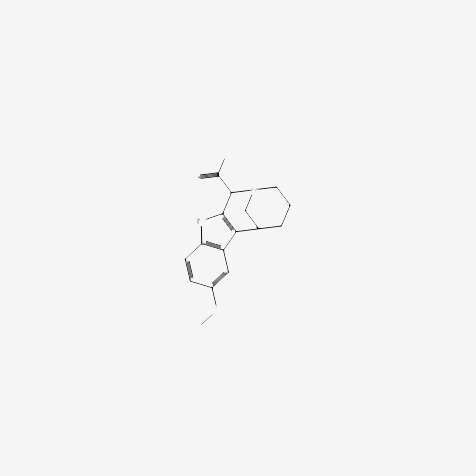 COc1ccc2[nH]c3c(c2c1)C1CCCN(C1)C3C(=O)O